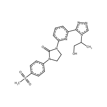 CC(CO)n1cnnc1-c1cccc(N2CCN(c3ccc(S(C)(=O)=O)cc3)C2=O)n1